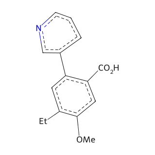 CCc1cc(-c2cccnc2)c(C(=O)O)cc1OC